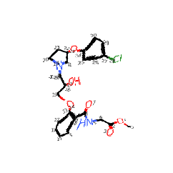 COC(=O)CNC(=O)c1ccccc1OCC(O)CN1CCC(Oc2ccc(Cl)cc2)C1